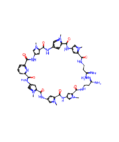 Cn1cc(NC(=O)c2cc(NC(=O)c3cc(NC(=O)c4cccc(C(=O)Nc5cc(C(=O)Nc6cc(C(=O)Nc7cc(C(=O)NCCC(=N)N)n(C)c7)n(C)c6)n(C)c5)n4)cn3C)cn2C)cc1C(=O)NCCC(=N)N